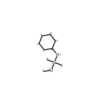 CO[Si](C)(C)OC1CCCCC1